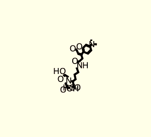 CN(C)c1ccc2c(CC(=O)NCCCCC(C(=O)O)N(CC(=O)O)CC(=O)O)cc(=O)oc2c1